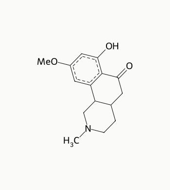 COc1cc(O)c2c(c1)C1CN(C)CCC1CC2=O